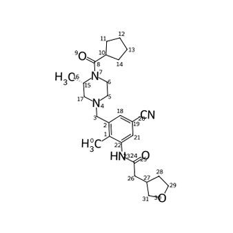 Cc1c(CN2CCN(C(=O)C3CCCC3)[C@@H](C)C2)cc(C#N)cc1NC(=O)CC1CCOC1